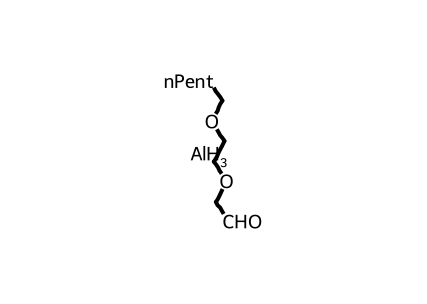 CCCCCCOCCOCC=O.[AlH3]